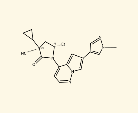 CC[C@H]1C[C@](C#N)(C2CC2)C(=O)N1c1ccnn2cc(-c3cnn(C)c3)cc12